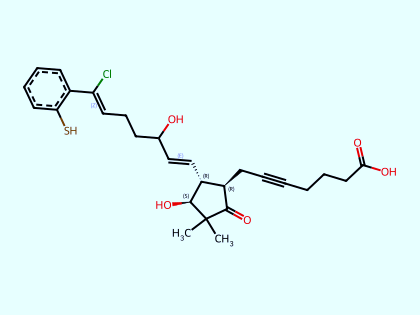 CC1(C)C(=O)[C@H](CC#CCCCC(=O)O)[C@@H](/C=C/C(O)CC/C=C(\Cl)c2ccccc2S)[C@@H]1O